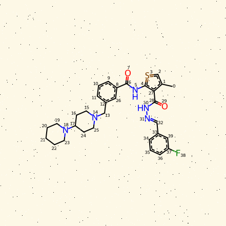 Cc1csc(NC(=O)c2cccc(CN3CCC(N4CCCCC4)CC3)c2)c1C(=O)N/N=C/c1cccc(F)c1